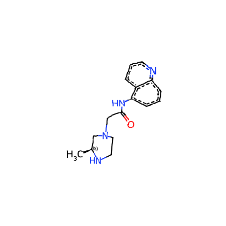 C[C@H]1CN(CC(=O)Nc2cccc3ncccc23)CCN1